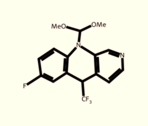 COC(OC)N1c2ccc(F)cc2C(C(F)(F)F)c2ccncc21